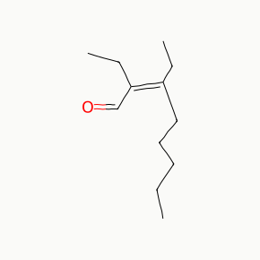 CCCCCC(CC)=C(C=O)CC